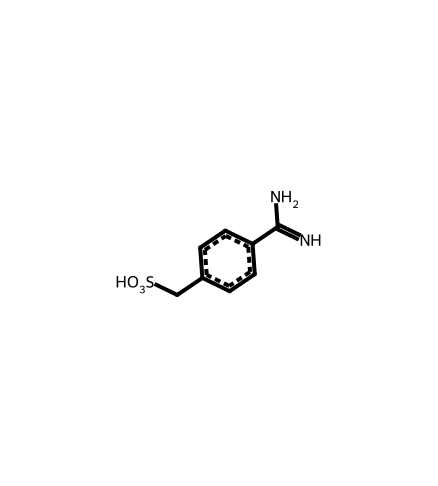 N=C(N)c1ccc(CS(=O)(=O)O)cc1